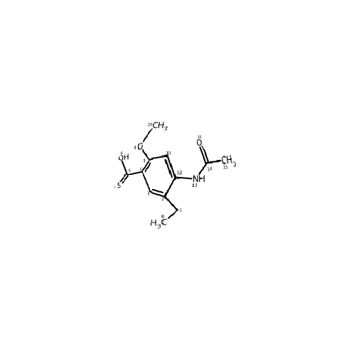 CCc1cc(C(O)=S)c(OC)cc1NC(C)=O